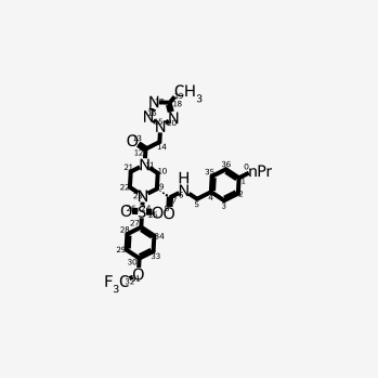 CCCc1ccc(CNC(=O)[C@H]2CN(C(=O)Cn3nnc(C)n3)CCN2S(=O)(=O)c2ccc(OC(F)(F)F)cc2)cc1